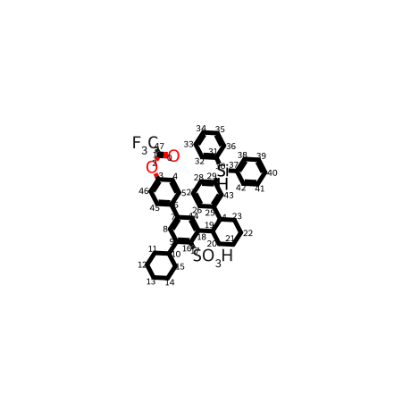 O=C(Oc1ccc(-c2cc(C3CCCCC3)c(S(=O)(=O)O)c(C3CCCCC3c3cccc([SiH](c4ccccc4)c4ccccc4)c3)c2)cc1)C(F)(F)F